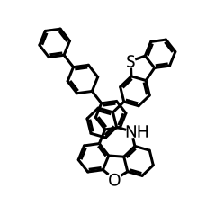 C1=CC(c2cccc(-c3cccc4oc5c(c34)=C(Nc3ccccc3-c3ccc4c(c3)sc3ccccc34)CCC=5)c2)CC=C1c1ccccc1